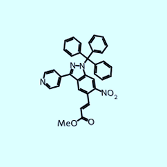 COC(=O)C=Cc1cc2c(-c3ccncc3)nn(C(c3ccccc3)(c3ccccc3)c3ccccc3)c2cc1[N+](=O)[O-]